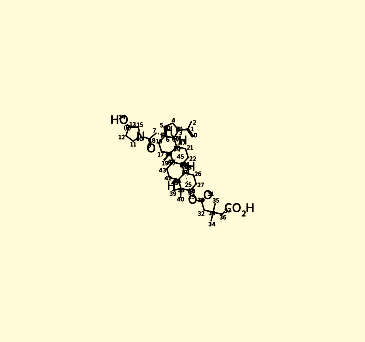 C=C(C)[C@@H]1CC[C@]2(CC(=O)N3CC[C@@H](O)C3)CC[C@]3(C)[C@H](CC[C@@H]4[C@@]5(C)CC[C@H](OC(=O)CC(C)(C)CC(=O)O)C(C)(C)[C@@H]5CC[C@]43C)[C@@H]12